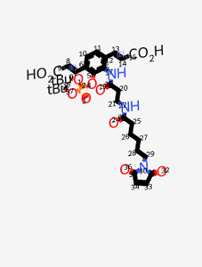 CC(C)(C)OP(=O)(Oc1c(/C=C/C(=O)O)ccc(/C=C/C(=O)O)c1NC(=O)CCNC(=O)CCCCCN1C(=O)C=CC1=O)OC(C)(C)C